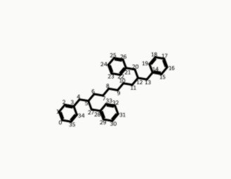 c1ccc(CC(CCCCCCC(Cc2ccccc2)Cc2ccccc2)Cc2ccccc2)cc1